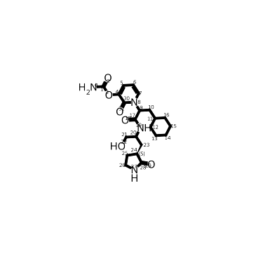 NC(=O)Oc1cccn(C(CC2CCCCC2)C(=O)NC(CO)C[C@@H]2CCNC2=O)c1=O